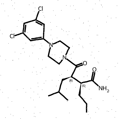 CCC[C@H](C(N)=O)[C@@H](CC(C)C)C(=O)N1CCN(c2cc(Cl)cc(Cl)c2)CC1